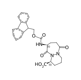 O=C(N[C@H]1CCC(=O)N2CCC[C@@H](C(=O)O)N2C1=O)OCC1c2ccccc2-c2ccccc21